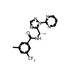 Cc1cc(C(=O)N[C@@H](C)c2ncnn2-c2ncccn2)cc(C(F)(F)F)c1